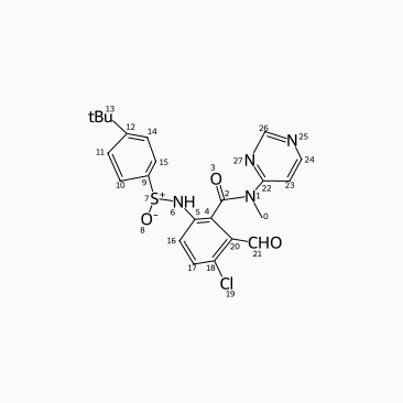 CN(C(=O)c1c(N[S+]([O-])c2ccc(C(C)(C)C)cc2)ccc(Cl)c1C=O)c1ccncn1